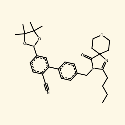 CCCCC1=NC2(CCOCC2)C(=O)N1Cc1ccc(-c2cc(B3OC(C)(C)C(C)(C)O3)ccc2C#N)cc1